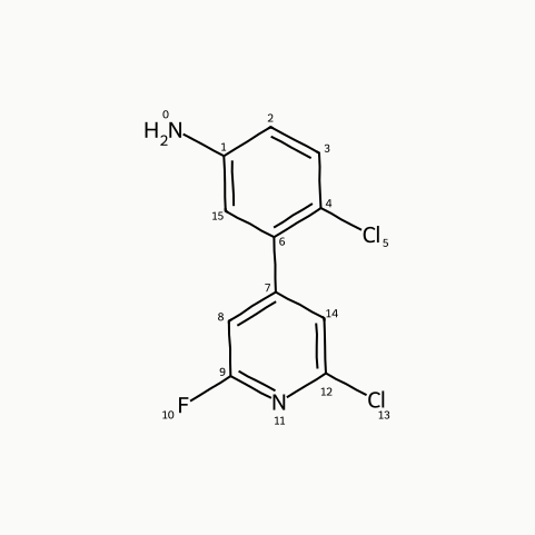 Nc1ccc(Cl)c(-c2cc(F)nc(Cl)c2)c1